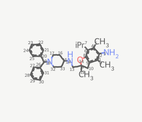 Cc1c(N)c(C)c(C(C)C)c2c1CC(C)(CNC1CCN(C(c3ccccc3)c3ccccc3)CC1)O2